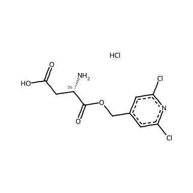 Cl.N[C@@H](CC(=O)O)C(=O)OCc1cc(Cl)nc(Cl)c1